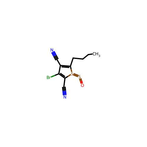 CCCCC1=C(C#N)C(Br)=C(C#N)S1=S=O